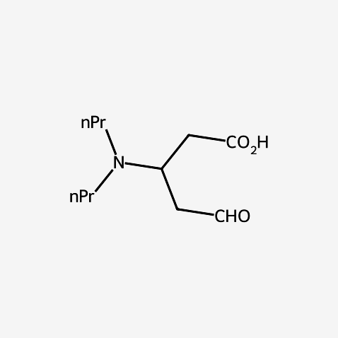 CCCN(CCC)C(CC=O)CC(=O)O